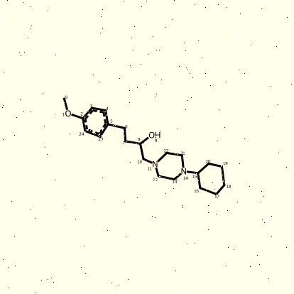 COc1ccc(CCC(O)CN2C[CH]N(C3CCCCC3)CC2)cc1